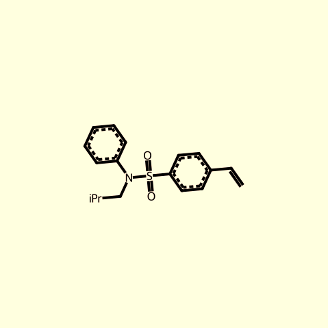 C=Cc1ccc(S(=O)(=O)N(CC(C)C)c2ccccc2)cc1